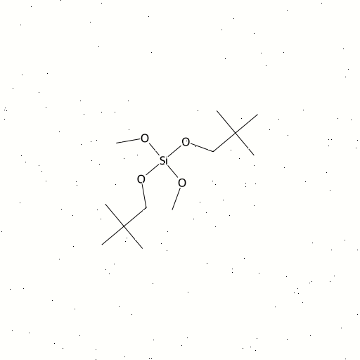 CO[Si](OC)(OCC(C)(C)C)OCC(C)(C)C